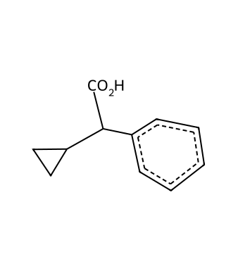 O=C(O)C(c1ccccc1)C1CC1